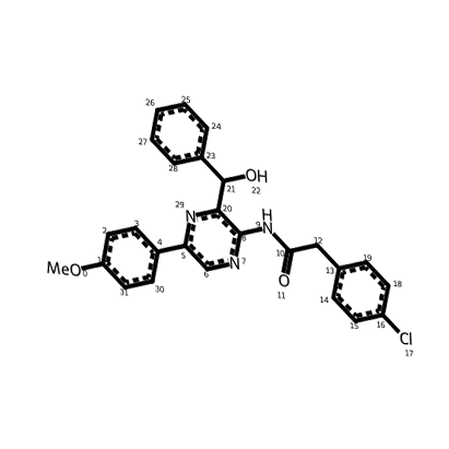 COc1ccc(-c2cnc(NC(=O)Cc3ccc(Cl)cc3)c(C(O)c3ccccc3)n2)cc1